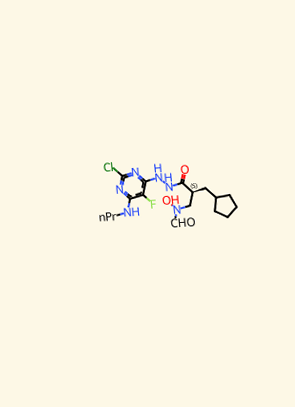 CCCNc1nc(Cl)nc(NNC(=O)[C@@H](CC2CCCC2)CN(O)C=O)c1F